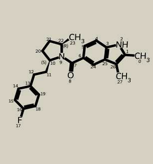 Cc1[nH]c2ccc(C(=O)N3[C@@H](CCc4ccc(F)cc4)CC[C@H]3C)cc2c1C